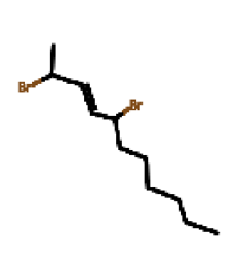 CCCCCCC(Br)/C=C/C(C)Br